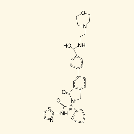 O=C(Nc1nccs1)[C@@H](c1ccccc1)N1Cc2ccc(-c3ccc(C(O)NCCN4CCOCC4)cc3)cc2C1=O